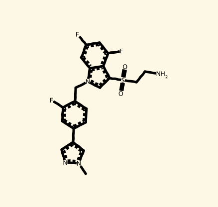 Cn1cc(-c2ccc(Cn3cc(S(=O)(=O)CCN)c4c(F)cc(F)cc43)c(F)c2)cn1